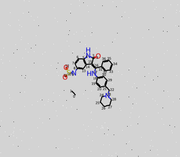 CC.O=C1Nc2ccc(N=S(=O)=O)cc2C1=C(Nc1ccc(CN2CCCCC2)cc1)c1ccccc1